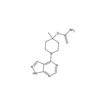 CC1(OC(N)=O)CCN(c2ncnc3[nH]ncc23)CC1